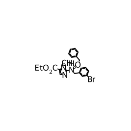 CCOC(=O)c1cnc(NCc2cc(Br)ccc2OCc2ccccc2)n1C